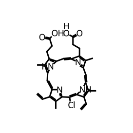 C=CC1=C(C)c2nc1cc1[nH]c(cc3nc(cc4[nH]c(c2Cl)c(C=C)c4C)C(C)=C3CCC(=O)O)c(CCC(=O)O)c1C